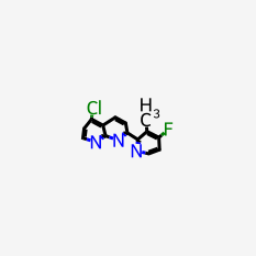 Cc1c(F)ccnc1-c1ccc2c(Cl)ccnc2n1